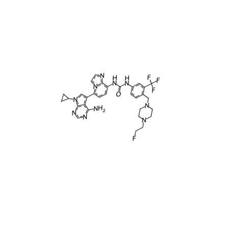 Nc1ncnc2c1c(-c1ccc(NC(=O)Nc3ccc(CN4CCN(CCF)CC4)c(C(F)(F)F)c3)c3nccn13)cn2C1CC1